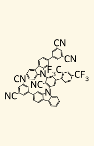 N#Cc1cc(C#N)cc(-c2ccc3c4ccccc4n(-c4cc(-c5ccc(C(F)(F)F)cc5C(F)(F)F)cc(-n5c6ccccc6c6ccc(-c7cc(C#N)cc(C#N)c7)cc65)c4C#N)c3c2)c1